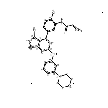 C=CC(=O)Nc1cc(-c2nc(Nc3cccc(N4CCOCC4)c3)nc3[nH]nc(Cl)c23)ccc1Cl